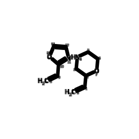 C=CC1CNCCO1.C=Cc1ncco1